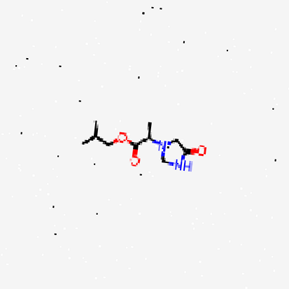 CC(C)COC(=O)C(C)N1CNC(=O)C1